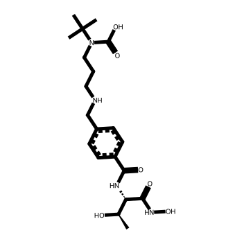 C[C@@H](O)[C@H](NC(=O)c1ccc(CNCCCN(C(=O)O)C(C)(C)C)cc1)C(=O)NO